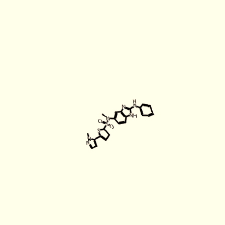 CN(c1ccc2[nH]c(Nc3ccccc3)nc2c1)S(=O)(=O)C1CC=C(c2ccnn2C)S1